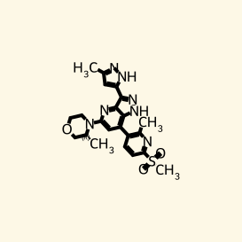 Cc1cc(-c2n[nH]c3c(-c4ccc(S(C)(=O)=O)nc4C)cc(N4CCOC[C@H]4C)nc23)[nH]n1